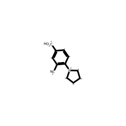 N#Cc1cc(C(=O)O)ccc1N1CCCC1